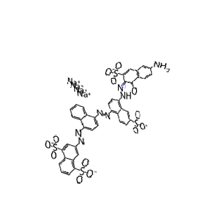 Nc1ccc2c(c1)C=C(S(=O)(=O)[O-])/C(=N/Nc1ccc(N=Nc3ccc(N=Nc4cc(S(=O)(=O)[O-])c5cccc(S(=O)(=O)[O-])c5c4)c4ccccc34)c3ccc(S(=O)(=O)[O-])cc13)C2=O.[Na+].[Na+].[Na+].[Na+]